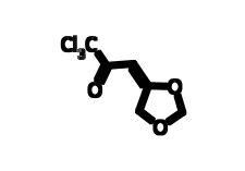 O=C(/C=C1\COCO1)C(Cl)(Cl)Cl